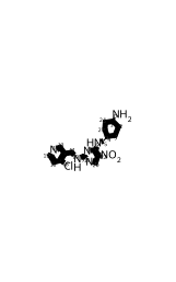 N[C@H]1CC[C@H](CNc2nc(NCc3cnccc3Cl)ncc2[N+](=O)[O-])CC1